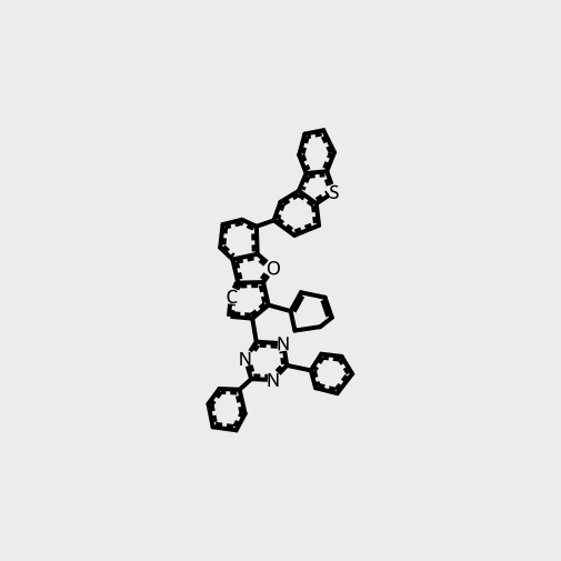 C1=CCCC(c2c(-c3nc(-c4ccccc4)nc(-c4ccccc4)n3)ccc3c2oc2c(-c4ccc5sc6ccccc6c5c4)cccc23)=C1